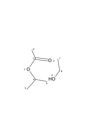 CC(=O)OC(C)C.CCO